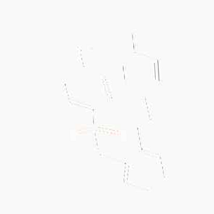 CC(=O)Nc1ccc(S(=O)(=O)Nc2ccccc2CCc2ccc(C(=O)O)cc2)cc1